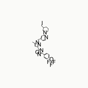 Cc1cc(-c2nc(-c3ccc(OC(F)(F)F)cc3)no2)nn1Cc1ccnc(N2CCCC(CI)C2)c1